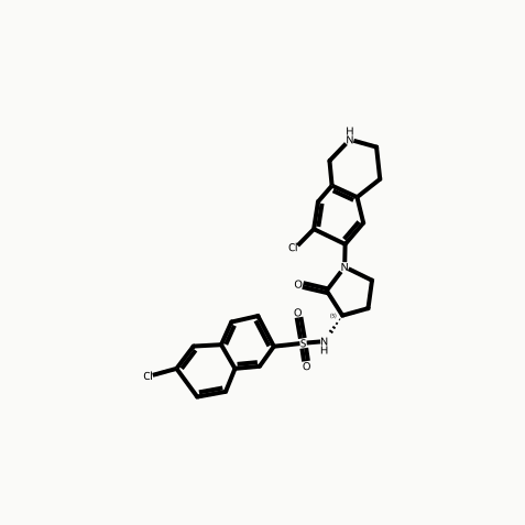 O=C1[C@@H](NS(=O)(=O)c2ccc3cc(Cl)ccc3c2)CCN1c1cc2c(cc1Cl)CNCC2